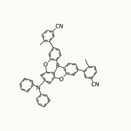 Cc1ccc(C#N)cc1-c1ccc2c(c1)Oc1cc(N(c3ccccc3)c3ccccc3)cc3c1B2c1ccc(-c2cc(C#N)ccc2C)cc1O3